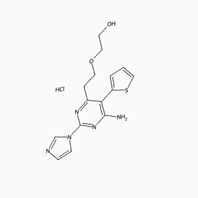 Cl.Nc1nc(-n2ccnc2)nc(CCOCCO)c1-c1cccs1